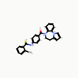 Cc1ccccc1C(=S)Nc1ccc(C(=O)N2CCc3cccn3-c3ccccc32)cc1